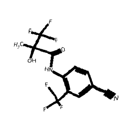 CC(O)(C(=O)Nc1ccc(C#N)cc1C(F)(F)F)C(F)(F)F